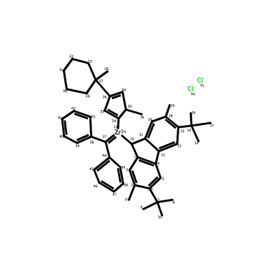 Cc1cc2c(cc1C(C)(C)C)-c1cc(C(C)(C)C)c(C)cc1[CH]2[Zr+2]([C]1=CC(C2(C)CCCCC2)=CC1C)=[C](c1ccccc1)c1ccccc1.[Cl-].[Cl-]